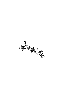 Cc1cn2cc(-c3nc4sc(C5CCN(C(=O)OC(C)(C)C)CC5)nc4s3)cc(C#N)c2n1